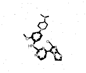 COc1cc(N2CCC(N(C)C)CC2)ccc1Nc1nccc(-c2c(Cl)nc3sccn23)n1